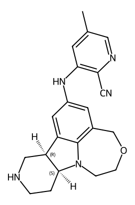 Cc1cnc(C#N)c(Nc2cc3c4c(c2)[C@@H]2CNCC[C@@H]2N4CCOC3)c1